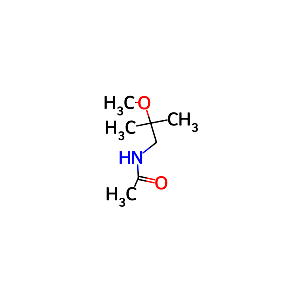 COC(C)(C)CNC(C)=O